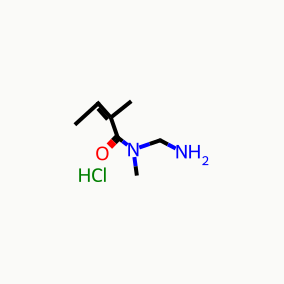 CC=C(C)C(=O)N(C)CN.Cl